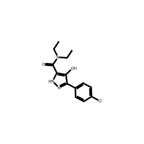 CCN(CC)C(=O)c1[nH]nc(-c2ccc(Cl)cc2)c1O